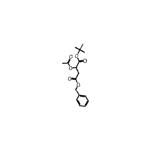 CC(=O)OC(CC(=O)OCc1ccccc1)C(=O)OC(C)(C)C